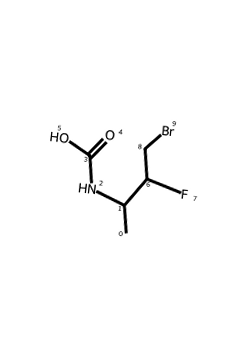 CC(NC(=O)O)C(F)CBr